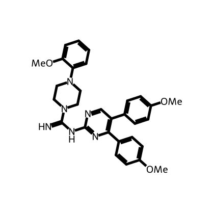 COc1ccc(-c2cnc(NC(=N)N3CCN(c4ccccc4OC)CC3)nc2-c2ccc(OC)cc2)cc1